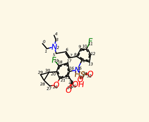 CCN(CC)CC=Cc1cc(F)ccc1N(c1cc(F)c2c(c1C(=O)O)OCC1CC21)[SH](=O)=O